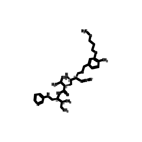 CC[C@H](C)[C@@H](CNc1cccnc1)NC(=O)[C@@H](C[C@H](O)[C@H](COCc1ccc(C)c(OCCCOC)c1)N=[N+]=[N-])C(C)C